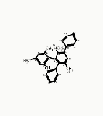 Cc1cc(C)c(-c2c(-c3ccccc3)c(C)cc(-c3ccccc3)c2S(=O)(=O)O)c(C)c1